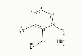 Br.Nc1cccc(Cl)c1CBr